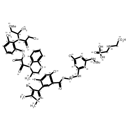 CC(C)OC(=O)c1cc(-c2nn(C)c(C(F)(F)F)c2Br)c(F)cc1Cl.CC1COc2ccccc2N1C(=O)C(Cl)Cl.CCNc1nc(Cl)nc(NC(C)(C)C)n1.CCc1cccc(C)c1N(C(=O)CCl)C(C)COC.O=C(O)CNCP(=O)(O)O